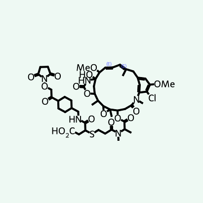 COc1cc2cc(c1Cl)N(C)C(=O)CC(OC(=O)C(C)N(C)C(=O)CCSC(CC(=O)O)C(=O)NCC1CCC(C(=O)CON3C(=O)CCC3=O)CC1)C1(C)OC1C(C)C1CC(O)(NC(=O)O1)C(OC)/C=C/C=C(\C)C2